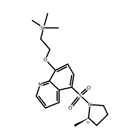 C[C@@H]1CCCN1S(=O)(=O)c1ccc(OCC[Si](C)(C)C)c2ncccc12